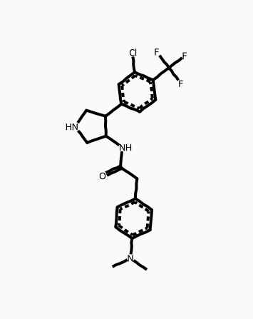 CN(C)c1ccc(CC(=O)NC2CNCC2c2ccc(C(F)(F)F)c(Cl)c2)cc1